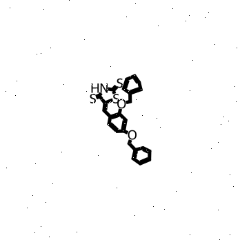 S=C1NC(=S)C(=Cc2ccc(OCc3ccccc3)cc2OCc2ccccc2)S1